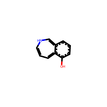 Oc1cccc2c1=CC=CNC=2